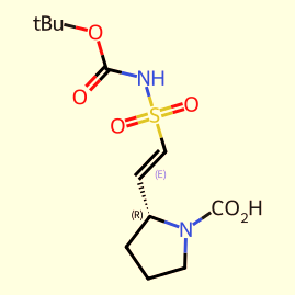 CC(C)(C)OC(=O)NS(=O)(=O)/C=C/[C@H]1CCCN1C(=O)O